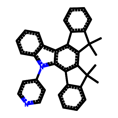 CC1(C)c2ccccc2-c2c1c1c(c3c2c2ccccc2n3-c2ccncc2)-c2ccccc2C1(C)C